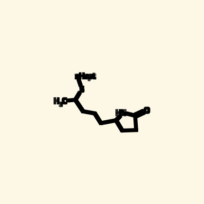 CCCCCCCSC(C)CCCC1CCC(=O)N1